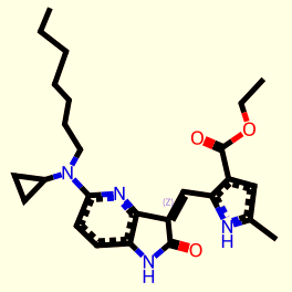 CCCCCCCN(c1ccc2c(n1)/C(=C/c1[nH]c(C)cc1C(=O)OCC)C(=O)N2)C1CC1